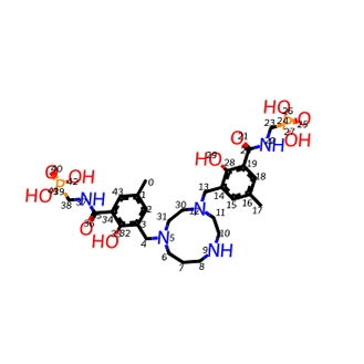 Cc1cc(CN2CCCNCCN(Cc3cc(C)cc(C(=O)NCP(=O)(O)O)c3O)CC2)c(O)c(C(=O)NCP(=O)(O)O)c1